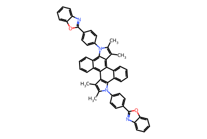 Cc1c(C)n(-c2ccc(-c3nc4ccccc4o3)cc2)c2c3ccccc3c3c4c(C)c(C)n(-c5ccc(-c6nc7ccccc7o6)cc5)c4c4ccccc4c3c12